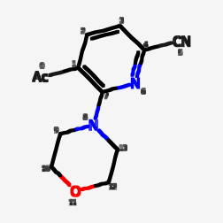 CC(=O)c1ccc(C#N)nc1N1CCOCC1